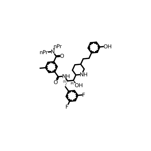 CCCN(CCC)C(=O)c1cc(C)cc(C(=O)N[C@@H](Cc2cc(F)cc(F)c2)[C@H](O)C2CCC(CCc3cccc(O)c3)CN2)c1